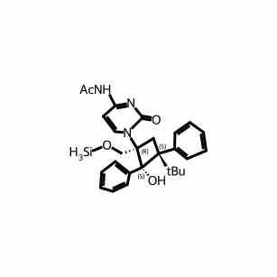 CC(=O)Nc1ccn([C@@]2(CO[SiH3])C[C@@](c3ccccc3)(C(C)(C)C)[C@@]2(O)c2ccccc2)c(=O)n1